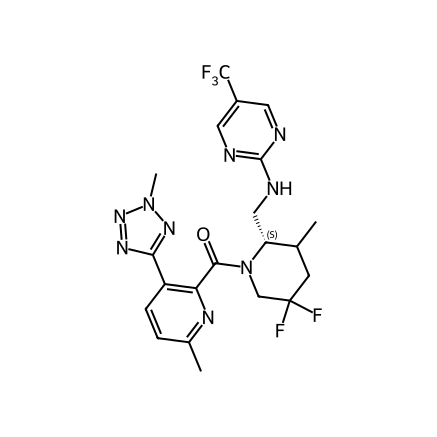 Cc1ccc(-c2nnn(C)n2)c(C(=O)N2CC(F)(F)CC(C)[C@H]2CNc2ncc(C(F)(F)F)cn2)n1